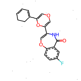 O=C1NC(C2=COC=C(C3=CC=CCC3)O2)=COc2ccc(F)cc21